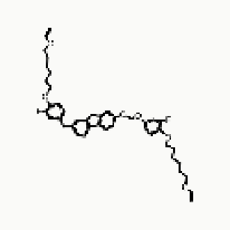 C=COCCCCCCOc1ccc(Cc2ccc3c(c2)Cc2cc(OCOc4ccc(OCCCCCCOC=C)c(F)c4)ccc2-3)cc1F